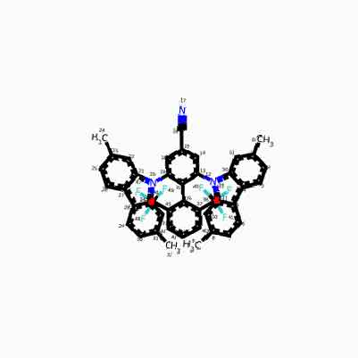 Cc1ccc2c3ccc(C)cc3n(-c3cc(C#N)cc(-n4c5cc(C)ccc5c5ccc(C)cc54)c3-c3c(C(F)(F)F)cccc3C(F)(F)F)c2c1